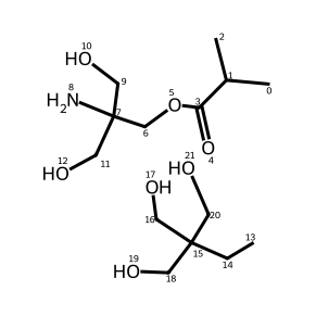 CC(C)C(=O)OCC(N)(CO)CO.CCC(CO)(CO)CO